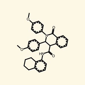 COc1ccc(C2C(C(=O)Nc3cccc4c3CCCC4)c3ccccc3C(=O)N2c2ccc(OC)cc2)cc1